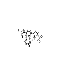 C=CC(=O)C1CCN(c2ccc(C(N)=O)c(Nc3ccc(F)nc3)n2)C1N